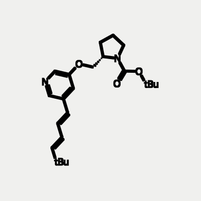 CC(C)(C)/C=C/C=C/c1cncc(OC[C@@H]2CCCN2C(=O)OC(C)(C)C)c1